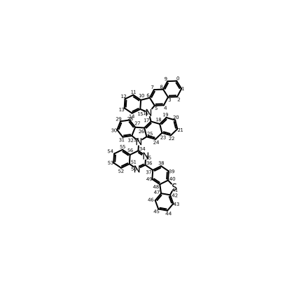 c1ccc2cc3c(cc2c1)c1ccccc1n3-c1c2ccccc2cc2c1c1ccccc1n2-c1nc(-c2ccc3sc4ccccc4c3c2)nc2ccccc12